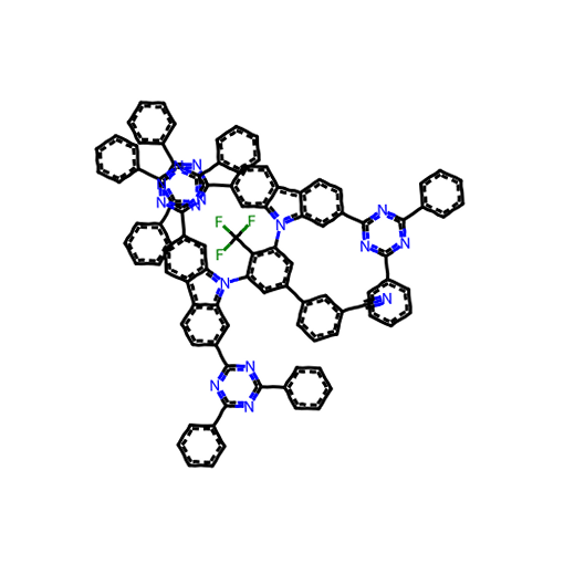 N#Cc1cccc(-c2cc(-n3c4cc(-c5nc(-c6ccccc6)nc(-c6ccccc6)n5)ccc4c4ccc(-c5nc(-c6ccccc6)nc(-c6ccccc6)n5)cc43)c(C(F)(F)F)c(-n3c4cc(-c5nc(-c6ccccc6)nc(-c6ccccc6)n5)ccc4c4ccc(-c5nc(-c6ccccc6)nc(-c6ccccc6)n5)cc43)c2)c1